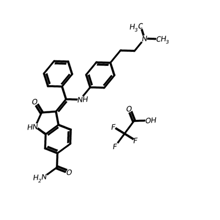 CN(C)CCc1ccc(NC(=C2C(=O)Nc3cc(C(N)=O)ccc32)c2ccccc2)cc1.O=C(O)C(F)(F)F